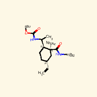 C=C[C@@H]1CC[C@@H](C(C)NC(=O)OC(C)(C)C)[C@@](NC(C)=O)(C(=O)NCCCC)C1